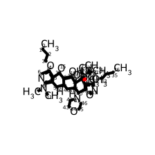 CCCCOc1cnc(N(C)C)c2c1C(=O)C1=C(O)[C@]3(O[Si](C)(C)C(C)(C)C)C(=O)c4c(OCCCC)noc4[C@@H](N4CCOCC4)[C@@H]3C[C@@H]1C2